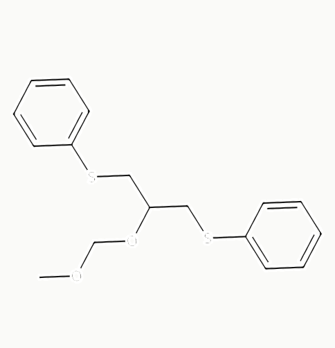 COCOC(CSc1ccccc1)CSc1ccccc1